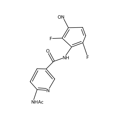 CC(=O)Nc1ccc(C(=O)Nc2c(F)ccc(N=O)c2F)cn1